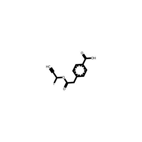 C#CC(I)OC(=O)Cc1ccc(C(=O)O)cc1